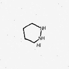 C1CCNNC1.I